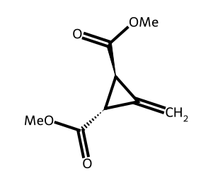 C=C1[C@H](C(=O)OC)[C@H]1C(=O)OC